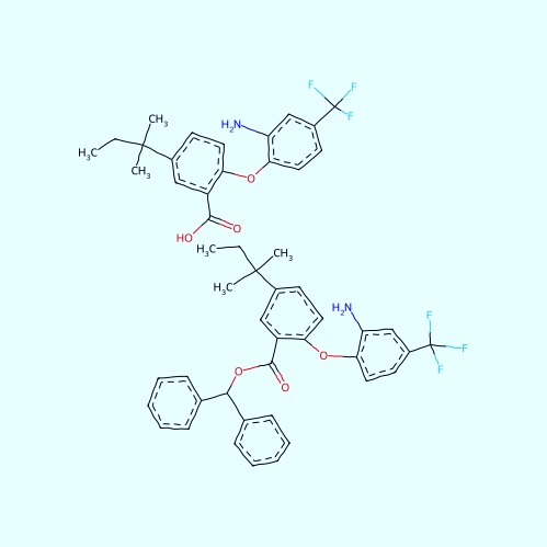 CCC(C)(C)c1ccc(Oc2ccc(C(F)(F)F)cc2N)c(C(=O)O)c1.CCC(C)(C)c1ccc(Oc2ccc(C(F)(F)F)cc2N)c(C(=O)OC(c2ccccc2)c2ccccc2)c1